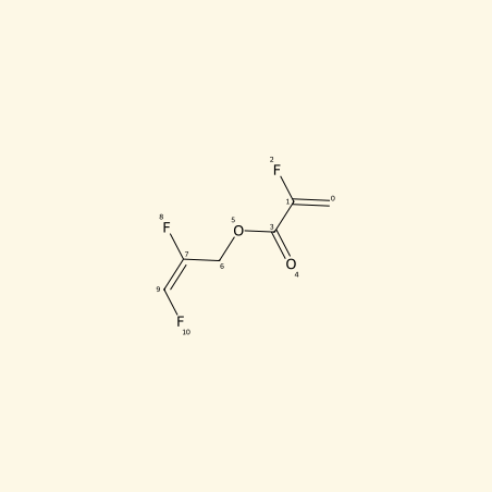 C=C(F)C(=O)OC/C(F)=C\F